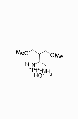 COCC(COC)C(C)N.[NH2][Pt+].[OH-]